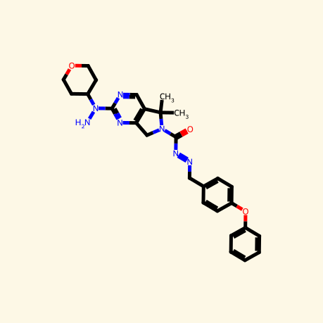 CC1(C)c2cnc(N(N)C3CCOCC3)nc2CN1C(=O)N=NCc1ccc(Oc2ccccc2)cc1